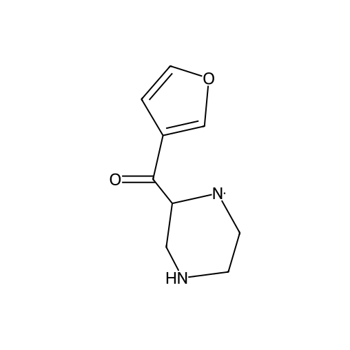 O=C(c1ccoc1)C1CNCC[N]1